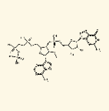 CO[C@@H]1[C@H](OP(=O)(O)OC[C@H]2O[C@@H](n3cnc4c(=O)[nH]c(N)nc43)[C@H](O)[C@@H]2O)C(COP(=O)(O)CCP(=O)(O)OP(=O)(O)O)O[C@H]1n1cnc2c(N)ncnc21